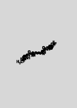 CC(F)(F)c1ccc(CNC(=O)c2cn(CCCCn3cc(C(=O)NCc4cccc(OC(F)(F)F)c4)nn3)nn2)nc1